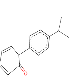 CC(C)c1ccc(C2C=CC=[C]C2=O)cc1